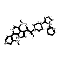 COc1cnccc1-c1ncc(OC)c2c(C(=O)C(=O)N3CCN(c4nnnn4-c4ccccn4)CC3)c[nH]c12